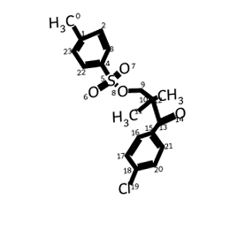 Cc1ccc(S(=O)(=O)OCC(C)(C)C(=O)c2ccc(Cl)cc2)cc1